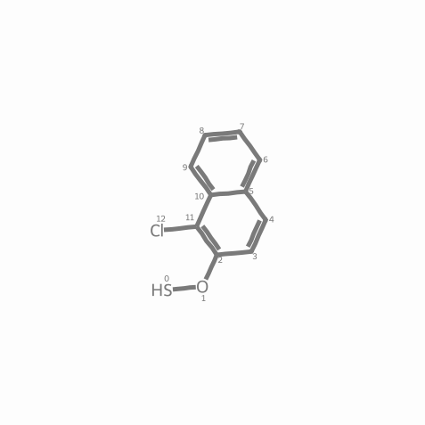 SOc1ccc2ccccc2c1Cl